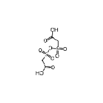 O=C(O)CS(=O)(=O)OS(=O)(=O)CC(=O)O